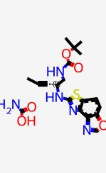 CC#C[C@H](CNC(=O)OC(C)(C)C)Nc1nc2c(ccc3ocnc32)s1.NC(=O)O